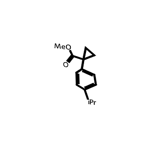 COC(=O)C1(c2ccc(C(C)C)cc2)CC1